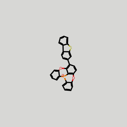 O=P12c3ccccc3Oc3ccc(-c4ccc5c(c4)sc4ccccc45)c(c31)Oc1ccccc12